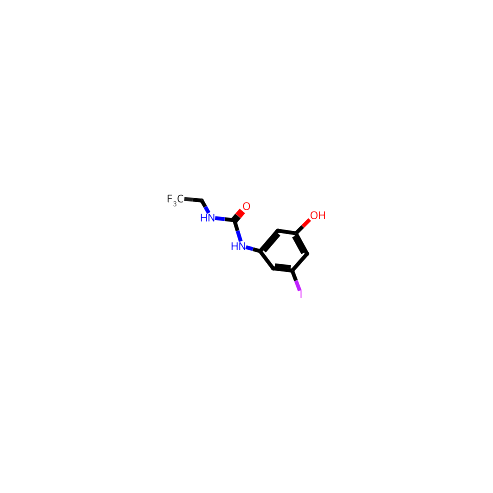 O=C(NCC(F)(F)F)Nc1cc(O)cc(I)c1